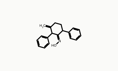 C=C1CCC(c2ccccc2)C(=NO)C1c1ccccc1